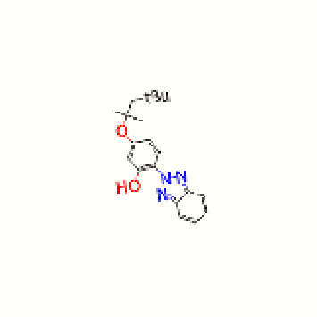 CC(C)(C)CC(C)(C)Oc1ccc(-n2nc3ccccc3n2)c(O)c1